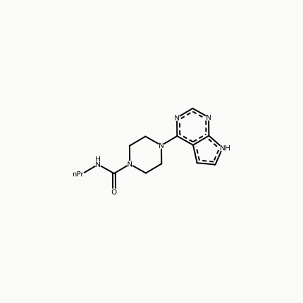 CCCNC(=O)N1CCN(c2ncnc3[nH]ccc23)CC1